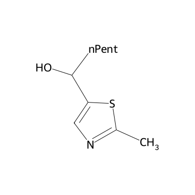 CCCCCC(O)c1cnc(C)s1